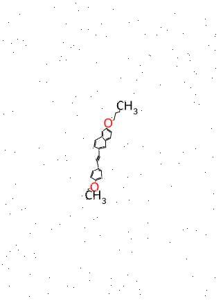 CCCCOc1ccc2cc(C#Cc3ccc(OCC)cc3)ccc2c1